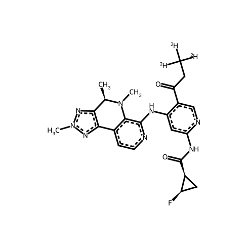 [2H]C([2H])([2H])CC(=O)c1cnc(NC(=O)[C@H]2C[C@H]2F)cc1Nc1nccc2c1N(C)[C@H](C)c1nn(C)nc1-2